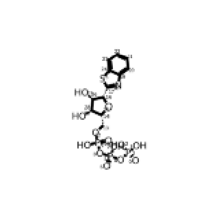 O=P(O)(O)OP(=O)(O)OP(=O)(O)OC[C@H]1O[C@@H](c2nc3ccccc3s2)[C@H](O)[C@@H]1O